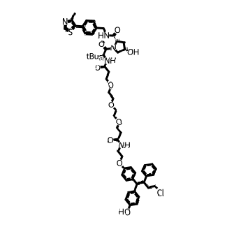 Cc1ncsc1-c1ccc(CNC(=O)[C@@H]2C[C@@H](O)CN2C(=O)[C@@H](NC(=O)CCOCCOCCOCCC(=O)NCCOc2ccc(C(=C(CCCl)c3ccccc3)c3ccc(O)cc3)cc2)C(C)(C)C)cc1